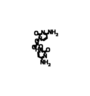 Nc1ccn(O[PH](=O)On2ccc(N)nc2=O)c(=O)n1